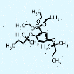 CCCC(C)(C)Oc1ccc(OC(C)(C)CCC)c([Si](OCC)(OCC)OCC)c1